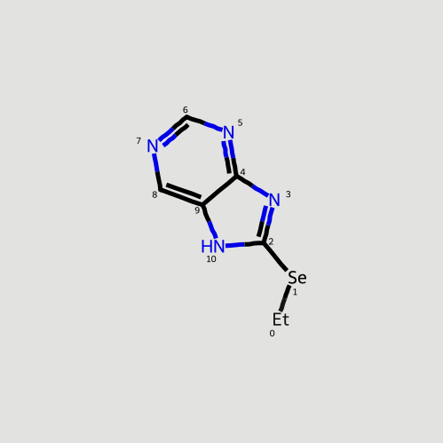 CC[Se]c1nc2ncncc2[nH]1